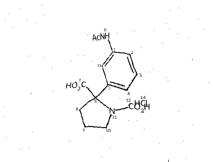 CC(=O)Nc1cccc(C2(C(=O)O)CCCN2C(=O)O)c1.Cl